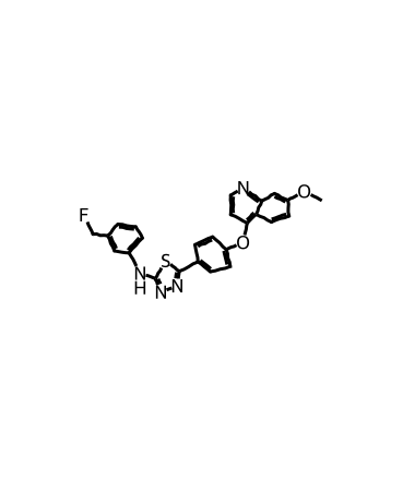 COc1ccc2c(Oc3ccc(-c4nnc(Nc5cccc(CF)c5)s4)cc3)ccnc2c1